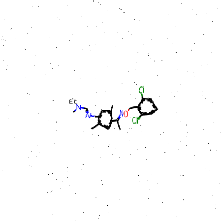 CCN(C)C=Nc1cc(C)c(C(C)=NOCc2c(Cl)cccc2Cl)cc1C